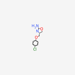 NC1=N[C@H](COc2ccc(Cl)cc2)CO1